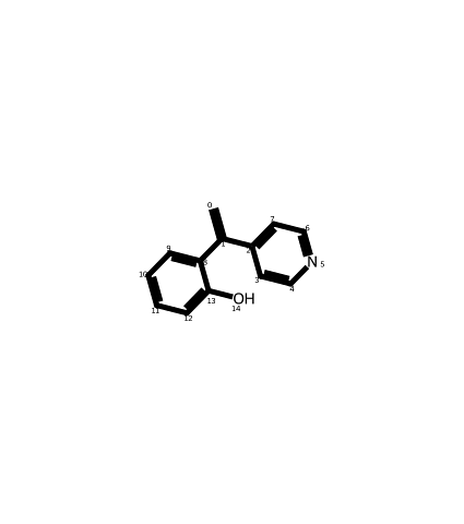 C=C(c1ccncc1)c1ccccc1O